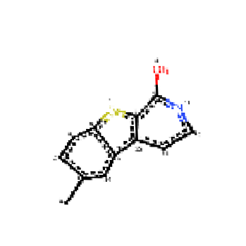 Cc1ccc2sc3c(O)nccc3c2c1